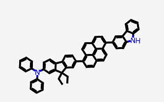 CCC1(CC)c2cc(-c3ccc4ccc5c(-c6ccc7[nH]c8ccccc8c7c6)ccc6ccc3c4c65)ccc2-c2ccc(N(c3ccccc3)c3ccccc3)cc21